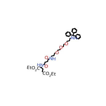 CCOC(=O)CCC(NC(=O)CCC(=O)NCCCOCCOCCOCCCNC(c1ccccc1)(c1ccccc1)c1ccccc1)C(=O)OCC